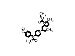 CCOC(=O)N1C(C)CCC1CC(CC)N1CCC(N(C(C)=O)c2ccc(OC)cc2)CC1